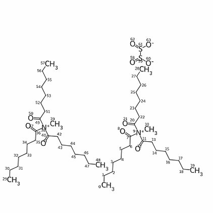 CCCCCCCC(=O)[N+](C)(C(=O)CCCCCCC)C(=O)CCCCCCC.CCCCCCCC(=O)[N+](C)(C(=O)CCCCCCC)C(=O)CCCCCCC.O=S([O-])S(=O)[O-]